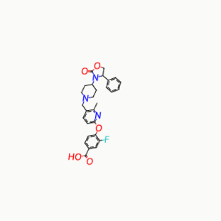 Cc1nc(Oc2ccc(C(=O)O)cc2F)ccc1CN1CCC(N2C(=O)OCC2c2ccccc2)CC1